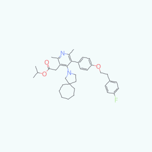 Cc1nc(C)c(-c2ccc(OCCc3ccc(F)cc3)cc2)c(N2CCC3(CCCCCC3)C2)c1CC(=O)OC(C)C